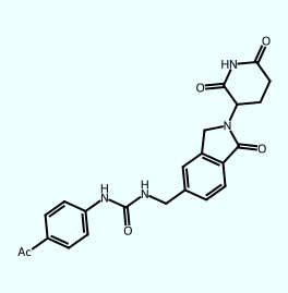 CC(=O)c1ccc(NC(=O)NCc2ccc3c(c2)CN(C2CCC(=O)NC2=O)C3=O)cc1